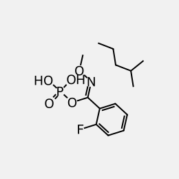 CCCC(C)C.CON=C(OP(=O)(O)O)c1ccccc1F